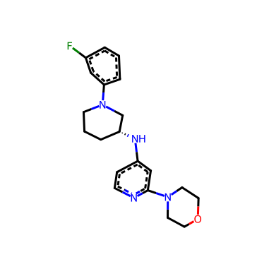 Fc1cccc(N2CCC[C@@H](Nc3ccnc(N4CCOCC4)c3)C2)c1